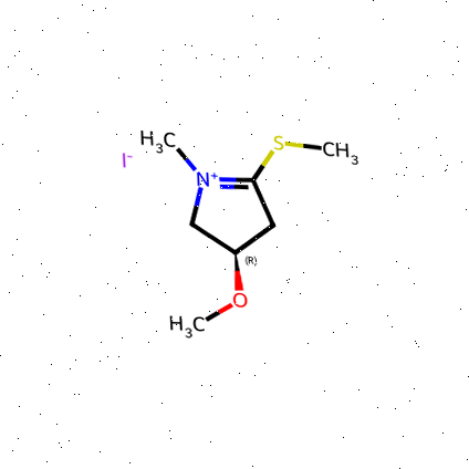 CO[C@@H]1CC(SC)=[N+](C)C1.[I-]